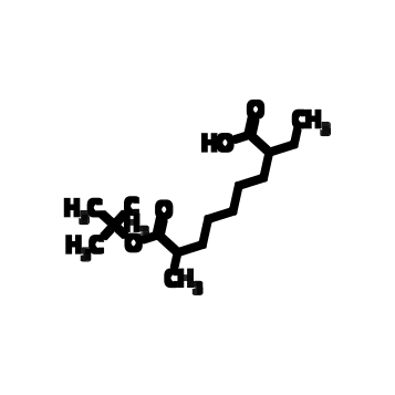 CCC(CCCCCC(C)C(=O)OC(C)(C)C)C(=O)O